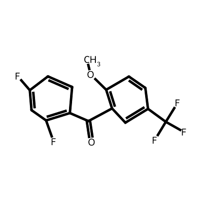 COc1ccc(C(F)(F)F)cc1C(=O)c1ccc(F)cc1F